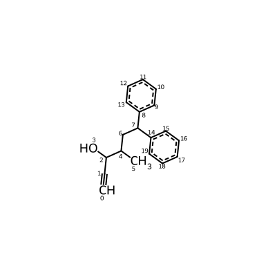 C#CC(O)C(C)CC(c1ccccc1)c1ccccc1